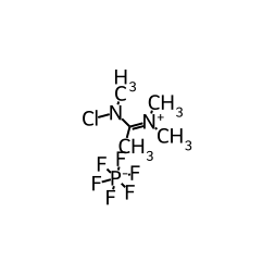 CC(N(C)Cl)=[N+](C)C.F[P-](F)(F)(F)(F)F